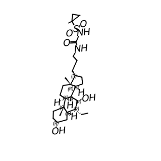 CC[C@H]1[C@@H](O)[C@@H]2[C@H](CC[C@]3(C)[C@@H](CCCNC(=O)NS(=O)(=O)C4(C)CC4)CC[C@@H]23)[C@@]2(C)CC[C@@H](O)C[C@@H]12